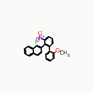 COc1ccccc1-c1cccc([N+](=O)[O-])c1-c1ccc2ccccc2c1F